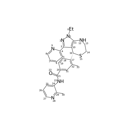 CCn1nc(-c2ccccn2)c2c1NCCS[C@@H]2c1ccc(C(=O)Nc2cccnc2C)cc1C